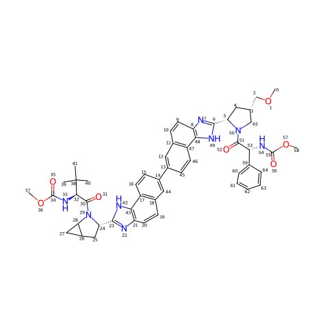 COC[C@H]1C[C@@H](c2nc3ccc4cc(-c5ccc6c(ccc7nc([C@@H]8CC9CC9N8C(=O)[C@@H](NC(=O)OC)C(C)(C)C)[nH]c76)c5)ccc4c3[nH]2)N(C(=O)[C@H](NC(=O)OC)c2ccccc2)C1